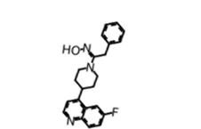 O/N=C(/Cc1ccccc1)N1CCC(c2ccnc3ccc(F)cc23)CC1